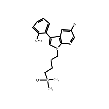 COc1ccccc1-c1cn(COCC[Si](C)(C)C)c2ncc(Br)cc12